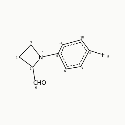 O=CC1CCN1c1ccc(F)cc1